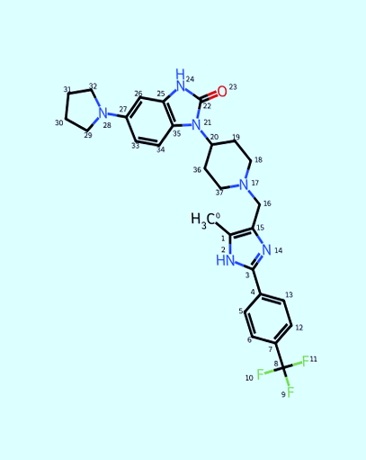 Cc1[nH]c(-c2ccc(C(F)(F)F)cc2)nc1CN1CCC(n2c(=O)[nH]c3cc(N4CCCC4)ccc32)CC1